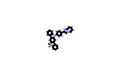 C[Si]1(C)c2ccccc2-c2cc3c(cc21)c1ccccc1n3-c1ccc(-c2cn3ccccc3n2)cc1